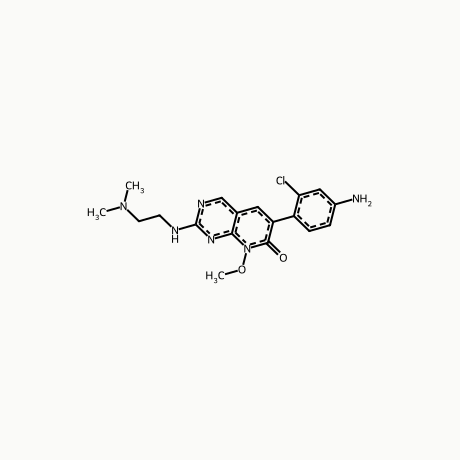 COn1c(=O)c(-c2ccc(N)cc2Cl)cc2cnc(NCCN(C)C)nc21